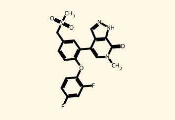 Cn1cc(-c2cc(CS(C)(=O)=O)ccc2Oc2ccc(F)cc2F)c2cn[nH]c2c1=O